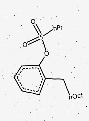 CCCCCCCCCc1ccccc1OS(=O)(=O)CCC